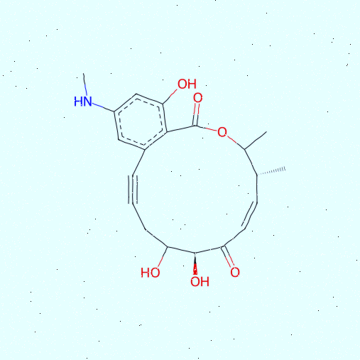 CNc1cc(O)c2c(c1)C#CCC(O)[C@H](O)C(=O)/C=C\[C@@H](C)C(C)OC2=O